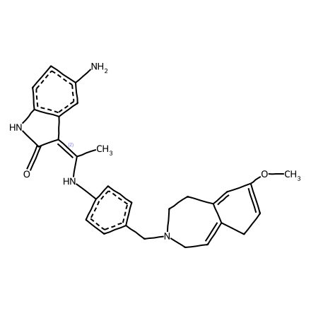 COC1=CCC2=CCN(Cc3ccc(N/C(C)=C4\C(=O)Nc5ccc(N)cc54)cc3)CCC2=C1